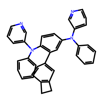 c1ccc(N(c2cccnc2)c2ccc(N(c3ccccc3)c3cccnc3)c(-c3ccc4c(c3)CC4)c2)cc1